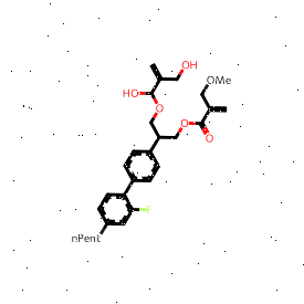 C=C(COC)C(=O)OCC(COC(O)C(=C)CO)c1ccc(-c2ccc(CCCCC)cc2F)cc1